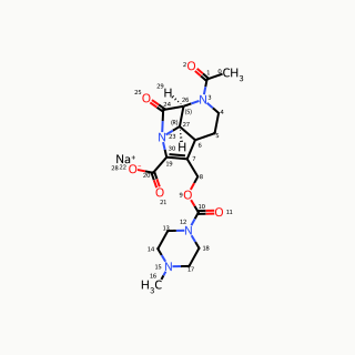 CC(=O)N1CCC2C(COC(=O)N3CCN(C)CC3)=C(C(=O)[O-])N3C(=O)[C@@H]1[C@@H]23.[Na+]